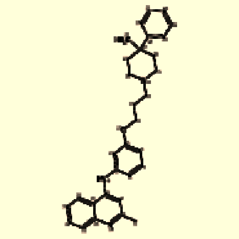 Cc1cc(Nc2cccc(OCCCN3CCC(C(=O)O)(c4ccccc4)CC3)c2)c2ccccc2n1